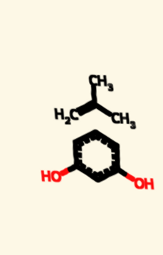 C=C(C)C.Oc1cccc(O)c1